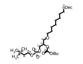 CCCCCCCCCCCCCCCCCCOCC(COP(=O)([O-])OCC[N+](C)(C)C)OC(=O)OCC(C)C